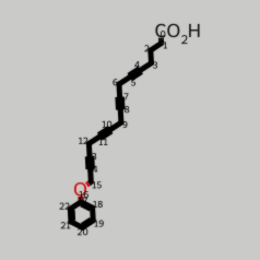 O=C(O)CCCC#CCC#CCC#CCC#CCOc1ccccc1